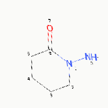 [NH]N1CCCCC1=O